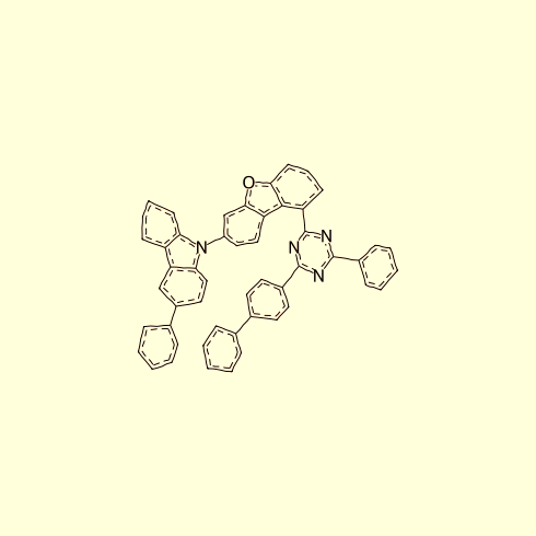 c1ccc(-c2ccc(-c3nc(-c4ccccc4)nc(-c4cccc5oc6cc(-n7c8ccccc8c8cc(-c9ccccc9)ccc87)ccc6c45)n3)cc2)cc1